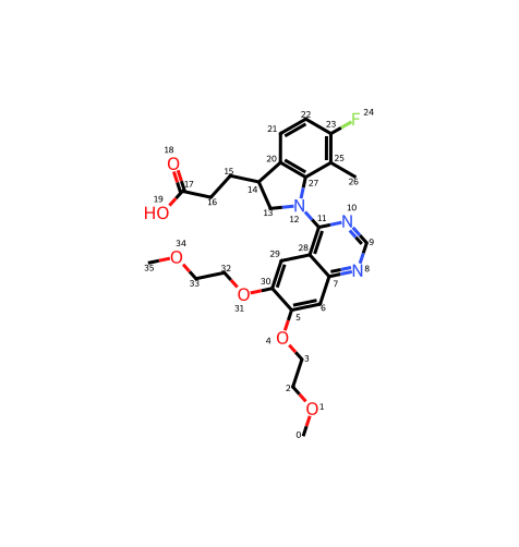 COCCOc1cc2ncnc(N3CC(CCC(=O)O)c4ccc(F)c(C)c43)c2cc1OCCOC